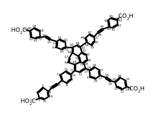 O=C(O)c1ccc(C#Cc2ccc(-c3cc(-c4ccc(C#Cc5ccc(C(=O)O)cc5)cc4)c4ccc5c(-c6ccc(C#Cc7ccc(C(=O)O)cc7)cc6)cc(-c6ccc(C#Cc7ccc(C(=O)O)cc7)cc6)c6ccc3c4c65)cc2)cc1